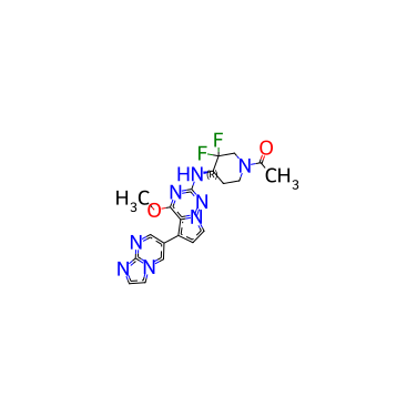 COc1nc(N[C@@H]2CCN(C(C)=O)CC2(F)F)nn2ccc(-c3cnc4nccn4c3)c12